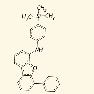 C[Si](C)(C)c1ccc(Nc2cccc3c2oc2c(-c4ccccc4)cccc23)cc1